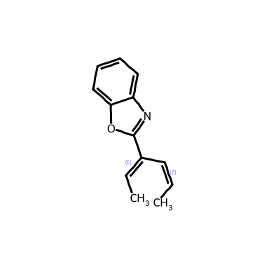 C/C=C\C(=C/C)c1nc2ccccc2o1